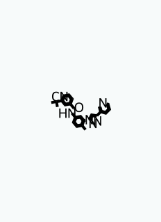 Cc1ccc(NC(=O)c2cccc(C(C)(C)C#N)c2)cc1-n1cc(-c2cccnc2)nn1